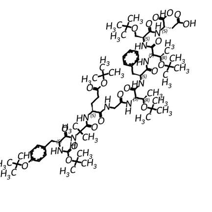 C[C@@H](OC(C)(C)C)[C@H](NC(=O)CNC(=O)[C@H](CCC(=O)OC(C)(C)C)NC(=O)C(C)(C)NC(=O)[C@H](Cc1ccc(OC(C)(C)C)cc1)NC(=O)OC(C)(C)C)C(=O)N[C@@H](Cc1ccccc1)C(=O)N[C@H](C(=O)N[C@@H](COC(C)(C)C)C(=O)N[C@@H](CC(=O)O)C(=O)O)[C@@H](C)OC(C)(C)C